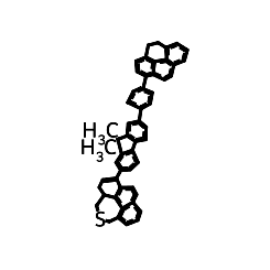 CC1(C)c2cc(C3=CCC4CSCc5cccc6ccc3c4c56)ccc2-c2ccc(-c3ccc(-c4ccc5c6c4ccc4cccc(c46)CC5)cc3)cc21